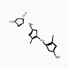 C1CC[SiH2]C1.CC1=[C]([Zr+2][C]2=C(C)C=C(C(C)(C)C)C2)CC(C(C)(C)C)=C1.[Cl-].[Cl-]